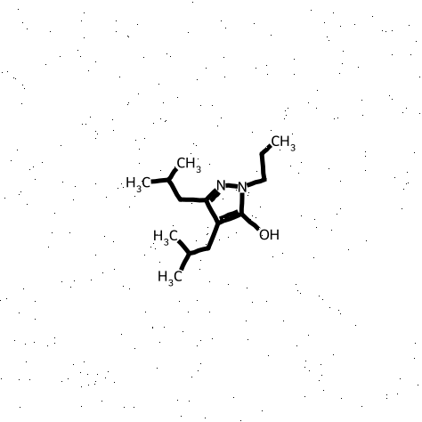 CCCn1nc(CC(C)C)c(CC(C)C)c1O